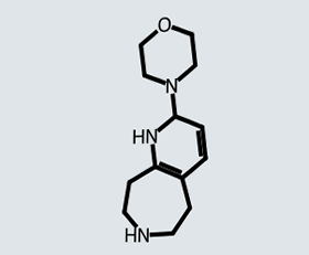 C1=CC(N2CCOCC2)NC2=C1CCNCC2